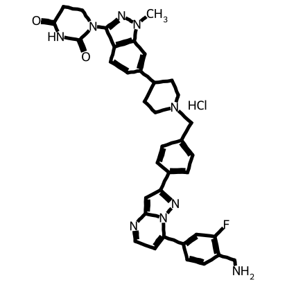 Cl.Cn1nc(N2CCC(=O)NC2=O)c2ccc(C3CCN(Cc4ccc(-c5cc6nccc(-c7ccc(CN)c(F)c7)n6n5)cc4)CC3)cc21